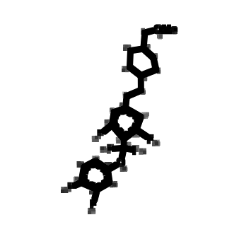 COCC1CCC(CCc2cc(F)c(C(F)(F)Oc3ccc(F)c(F)c3)c(F)c2)CC1